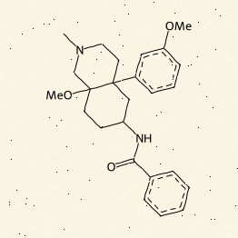 COc1cccc(C23CCN(C)CC2(OC)CCC(NC(=O)c2ccccc2)C3)c1